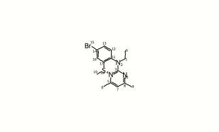 CCN(c1nc(C)cc(C)n1)c1ccc(Br)cc1SC